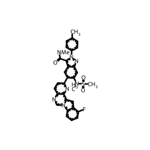 CNC(=O)c1c2cc(-c3ccc4ncn5c6cccc(F)c6cc5c4n3)c(N(C)S(C)(=O)=O)cc2nn1-c1ccc(C)cc1